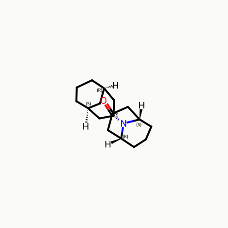 O=C1C[C@H]2CCC[C@@H](C1)N2[C@H]1C[C@@H]2CCC[C@@H](C2)C1